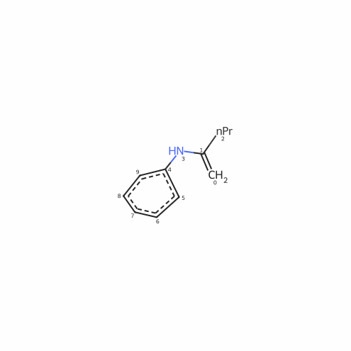 C=C(CCC)Nc1ccccc1